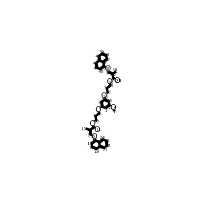 COc1cc(OCCCOC(=O)C(C)=COc2cccc3ccccc23)cc(OCCCOC(=O)C(C)=COc2cccc3ccccc23)c1